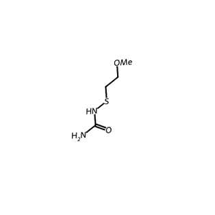 COCCSNC(N)=O